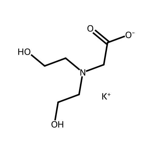 O=C([O-])CN(CCO)CCO.[K+]